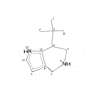 CC(C)(C)C1CNCc2cc[nH]c21